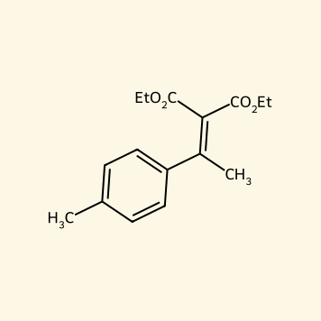 CCOC(=O)C(C(=O)OCC)=C(C)c1ccc(C)cc1